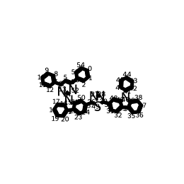 c1ccc(-c2cc(-c3ccccc3)nc(-n3c4ccccc4c4ccc(-c5nnc(-c6ccc7c8ccccc8n(-c8ccccc8)c7c6)s5)cc43)n2)cc1